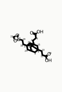 O=C(O)CCC12CC3CC(CCC(=O)O)(C1)CC(CCN1OCO1)(C3)C2